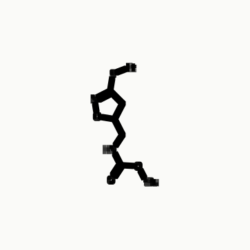 CCSC1=NOC(CNC(=O)OC(C)(C)C)C1